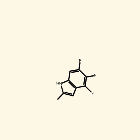 Cc1cc2c(F)c(F)c(F)cc2[nH]1